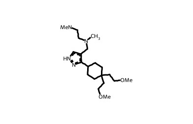 CNCCN(C)Cc1c[nH]nc1C1CCC(CCOC)(CCOC)CC1